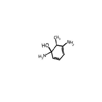 CC1C(N)=CC=CC1(N)O